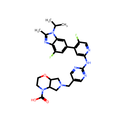 Cc1nc2c(F)cc(-c3cc(Nc4ncc(CN5CC6OCCN(C(=O)O)C6C5)cn4)ncc3F)cc2n1C(C)C